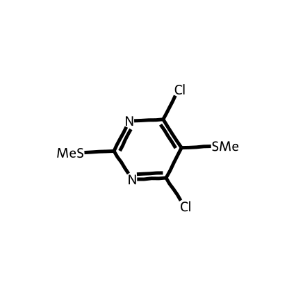 CSc1nc(Cl)c(SC)c(Cl)n1